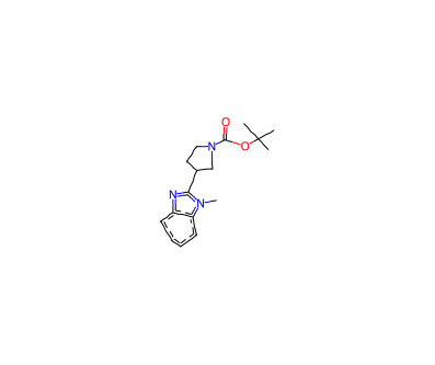 Cn1c(C2CCN(C(=O)OC(C)(C)C)C2)nc2ccccc21